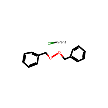 CCCCCCl.c1ccc(COOCc2ccccc2)cc1